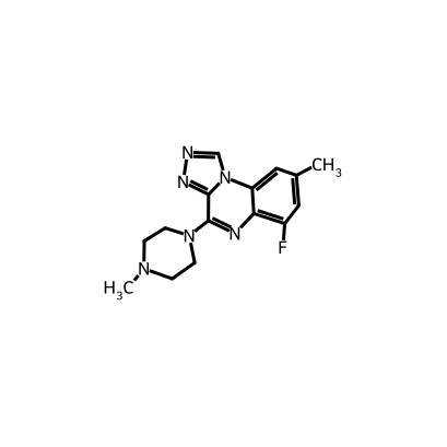 Cc1cc(F)c2nc(N3CCN(C)CC3)c3nncn3c2c1